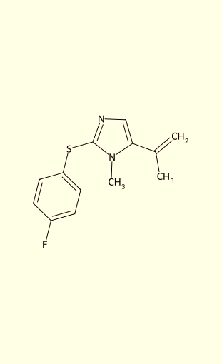 C=C(C)c1cnc(Sc2ccc(F)cc2)n1C